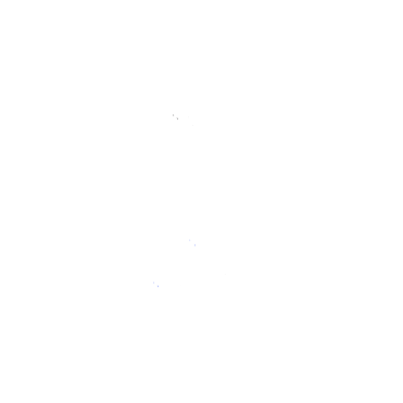 O=C(O)c1cncc(Sc2cccc([N+](=O)[O-])c2)n1